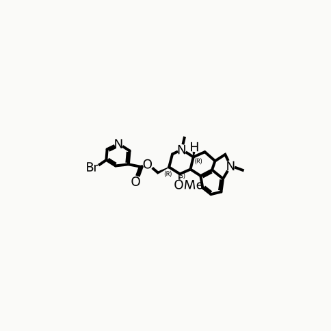 CO[C@H]1C2c3cccc4c3C(C[C@H]2N(C)C[C@@H]1COC(=O)c1cncc(Br)c1)CN4C